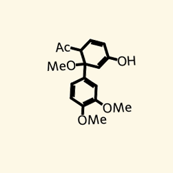 COc1ccc(C2(OC)C=C(O)C=CC2C(C)=O)cc1OC